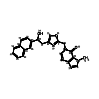 Cn1cnc2ncn(Cc3nc(CC(O)c4ccc5ccccc5c4)no3)c(=O)c21